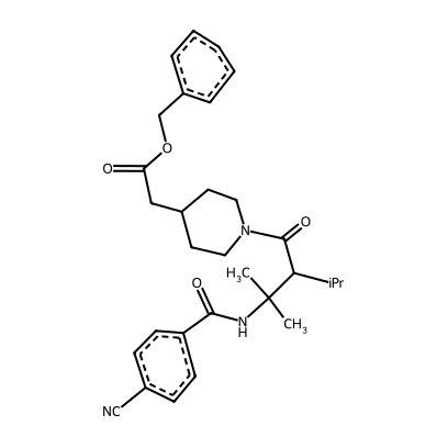 CC(C)C(C(=O)N1CCC(CC(=O)OCc2ccccc2)CC1)C(C)(C)NC(=O)c1ccc(C#N)cc1